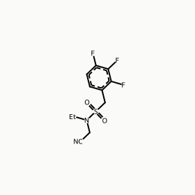 CCN(CC#N)S(=O)(=O)Cc1ccc(F)c(F)c1F